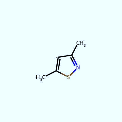 Cc1[c]c(C)sn1